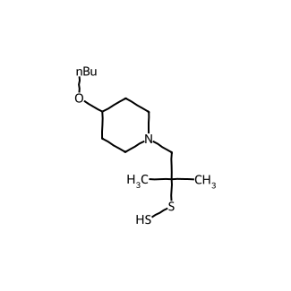 CCCCOC1CCN(CC(C)(C)SS)CC1